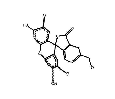 O=C1OC2(C3=CC=C(CCl)CC13)c1cc(Cl)c(O)cc1Oc1cc(O)c(Cl)cc12